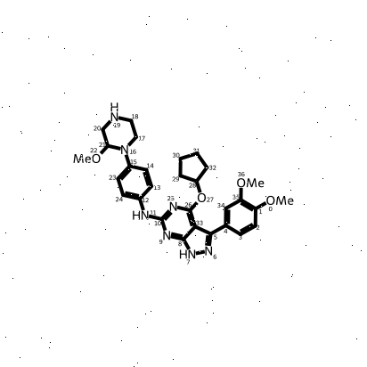 COc1ccc(-c2n[nH]c3nc(Nc4ccc(N5CCNCC5OC)cc4)nc(OC4CCCC4)c23)cc1OC